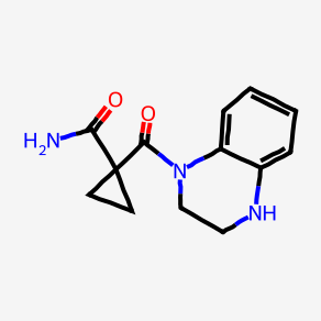 NC(=O)C1(C(=O)N2CCNc3ccccc32)CC1